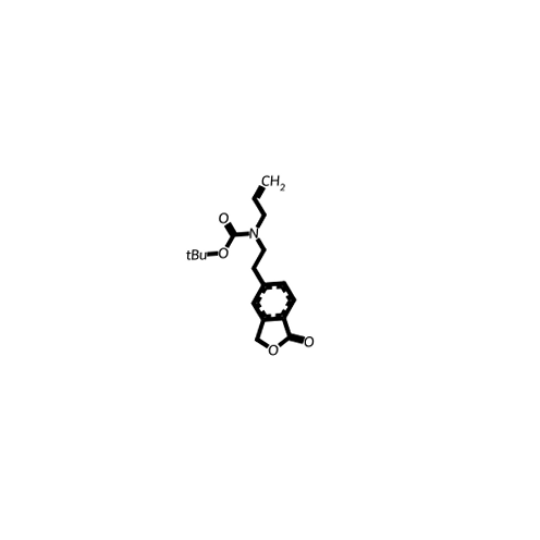 C=CCN(CCc1ccc2c(c1)COC2=O)C(=O)OC(C)(C)C